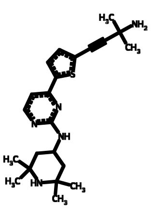 CC(C)(N)C#Cc1ccc(-c2ccnc(NC3CC(C)(C)NC(C)(C)C3)n2)s1